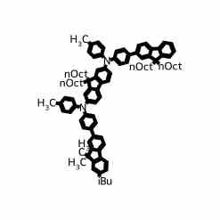 CCCCCCCCC1(CCCCCCCC)c2ccccc2-c2ccc(-c3ccc(N(c4ccc(C)cc4)c4ccc5c(c4)C(CCCCCCCC)(CCCCCCCC)c4cc(N(c6ccc(C)cc6)c6ccc(-c7ccc8c(c7)C(C)(C)c7cc(C(C)CC)ccc7-8)cc6)ccc4-5)cc3)cc21